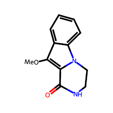 COc1c2n(c3ccccc13)CCNC2=O